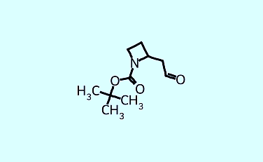 CC(C)(C)OC(=O)N1CCC1CC=O